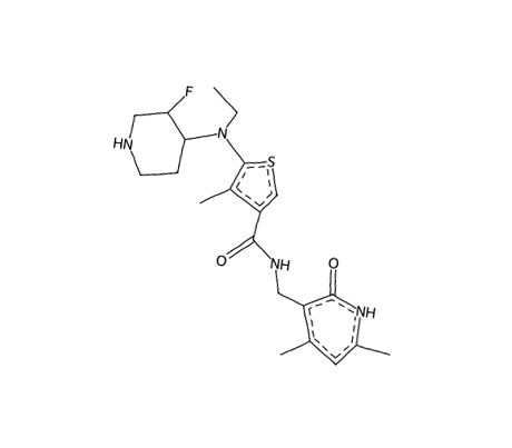 CCN(c1scc(C(=O)NCc2c(C)cc(C)[nH]c2=O)c1C)C1CCNCC1F